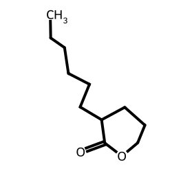 CCCCCCC1CCCOC1=O